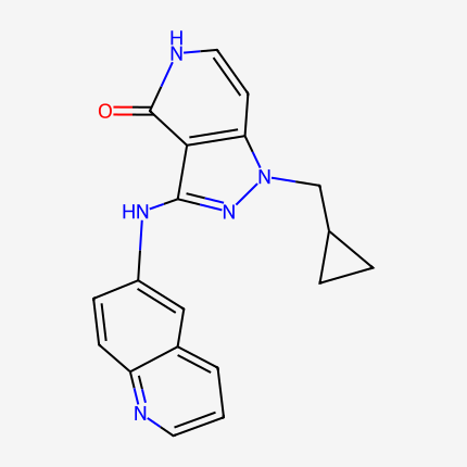 O=c1[nH]ccc2c1c(Nc1ccc3ncccc3c1)nn2CC1CC1